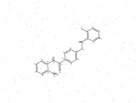 Cc1ccncc1NCc1ccc(C(=O)Nc2ccccc2N)cc1